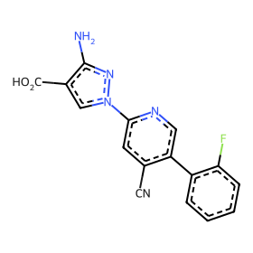 N#Cc1cc(-n2cc(C(=O)O)c(N)n2)ncc1-c1ccccc1F